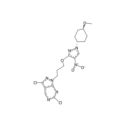 CO[C@H]1CC[C@H](n2cc([N+](=O)[O-])c(OCCCn3nc(Cl)c4cnc(Cl)nc43)n2)CC1